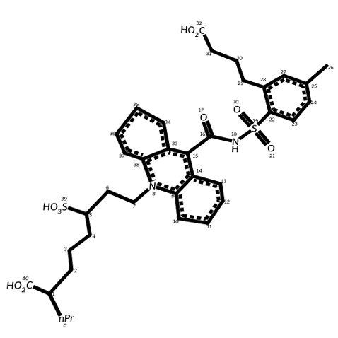 CCCC(CCCC(CC[n+]1c2ccccc2c(C(=O)NS(=O)(=O)c2ccc(C)cc2CCCC(=O)O)c2ccccc21)S(=O)(=O)O)C(=O)O